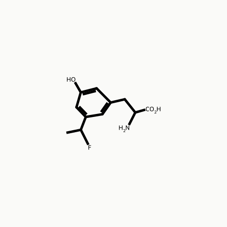 CC(F)c1cc(O)cc(CC(N)C(=O)O)c1